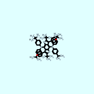 CC(C)c1ccc(N(c2ccc(C(C)(C)C)cc2)c2c3oc(C(C)(C)C)c(-c4ccccc4)c3c(N(c3ccc(C(C)C)cc3)C3C=CC(C(C)(C)C)=CC3)c3oc(C(C)(C)C)c(-c4ccccc4)c23)cc1